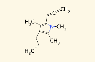 C=C=Cc1c(C)c(CCC)c(C)n1C